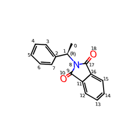 C[C@H](c1ccccc1)N1C(=O)c2ccccc2C1=O